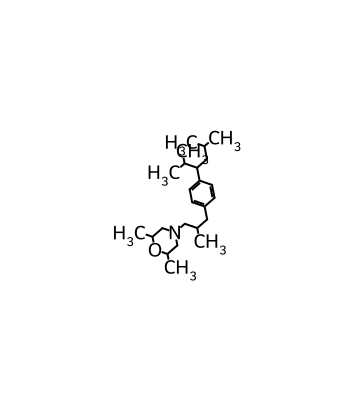 CC(C)CC(c1ccc(CC(C)CN2CC(C)OC(C)C2)cc1)C(C)C